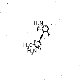 Cc1nc(C#Cc2c(F)ccc(N)c2F)cnc1N